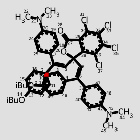 CC(C)COc1ccc(C(=CC2(C=C(c3ccc(OCC(C)C)cc3)c3ccc(N(C)C)cc3)OC(=O)c3c(Cl)c(Cl)c(Cl)c(Cl)c32)c2ccc(N(C)C)cc2)cc1